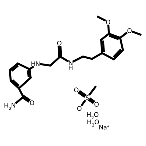 COc1ccc(CCNC(=O)CNc2cccc(C(N)=O)c2)cc1OC.CS(=O)(=O)[O-].O.O.[Na+]